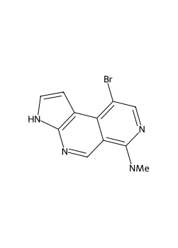 CNc1ncc(Br)c2c1cnc1[nH]ccc12